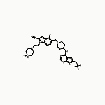 Cc1c(CN2CCC(Nc3ncnc4sc(CC(F)(F)F)cc34)CC2)ccc2c1cc(C#N)n2CCN1CCS(=O)(=O)CC1